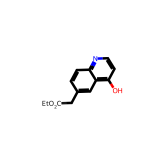 CCOC(=O)Cc1ccc2nccc(O)c2c1